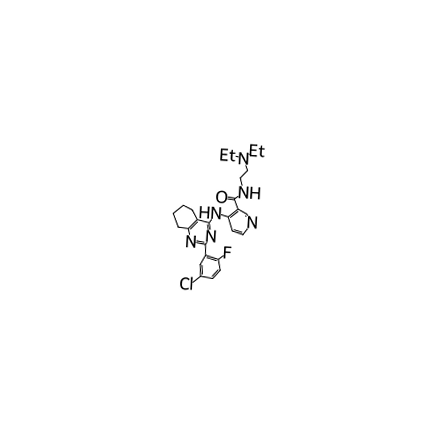 CCN(CC)CCNC(=O)c1cnccc1Nc1nc(-c2cc(Cl)ccc2F)nc2c1CCCC2